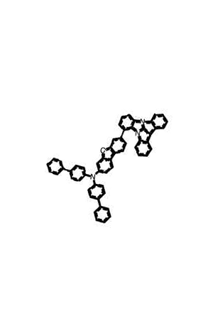 c1ccc(-c2ccc(N(c3ccc(-c4ccccc4)cc3)c3ccc4c(c3)oc3cc(-c5cccc6c5n5c7ccccc7c7c8ccccc8n6c75)ccc34)cc2)cc1